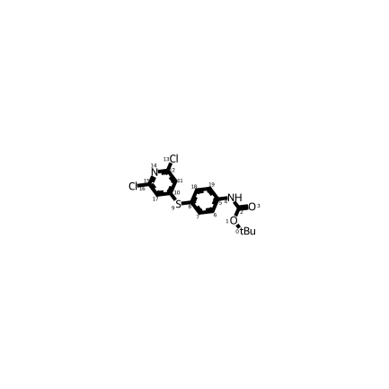 CC(C)(C)OC(=O)Nc1ccc(Sc2cc(Cl)nc(Cl)c2)cc1